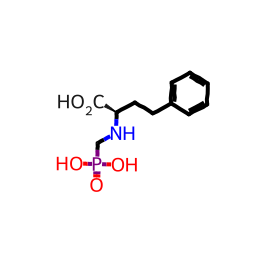 O=C(O)[C@@H](CCc1ccccc1)NCP(=O)(O)O